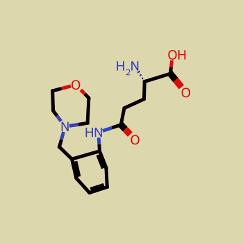 N[C@@H](CCC(=O)Nc1ccccc1CN1CCOCC1)C(=O)O